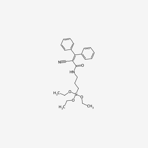 CCO[Si](CCCNC(=O)C(C#N)=C(c1ccccc1)c1ccccc1)(OCC)OCC